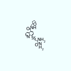 NC(=O)[C@@H](N)CSSc1ccc(C(=O)NCC2CCCO2)c2cccnc12